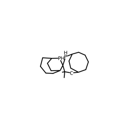 CC1(C)CC2CCCCC(CC2)PC12PC1CCCCC2CC1